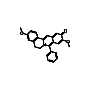 COc1ccc2c(c1)CCn1c-2cc2cc(=O)c(OC)cc-2c1-c1ccccc1